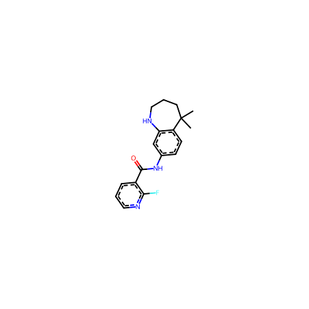 CC1(C)CCCNc2cc(NC(=O)c3cccnc3F)ccc21